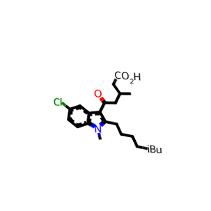 CCC(C)CCCCc1c(C(=O)CC(C)CC(=O)O)c2cc(Cl)ccc2n1C